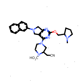 CN1CCCC1COc1nc2c(c(N3CCN(C(=O)O)C(CC#N)C3)n1)CN(c1ccc3ccccc3c1)C2